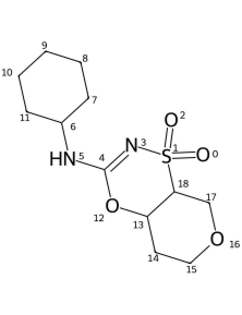 O=S1(=O)N=C(NC2CCCCC2)OC2CCOCC21